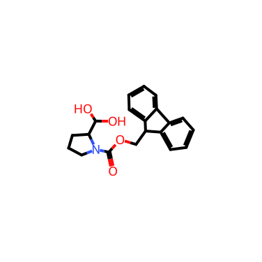 O=C(OCC1c2ccccc2-c2ccccc21)N1CCCC1C(O)O